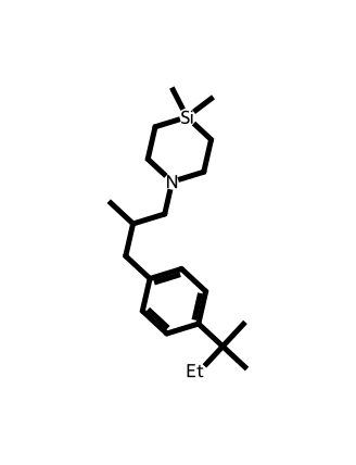 CCC(C)(C)c1ccc(CC(C)CN2CC[Si](C)(C)CC2)cc1